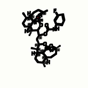 C[C@H]1[C@@H](C[C@H](OC(=O)Nc2cccc(F)c2)C2O[C@@H]3C[C@]4(C)CC[C@H]5[C@H](C)CC[C@@H]([C@H]2C)[C@@]35OO4)O[C@@H]2C[C@]3(C)CC[C@H]4[C@H](C)CC[C@@H]1[C@@]24OO3